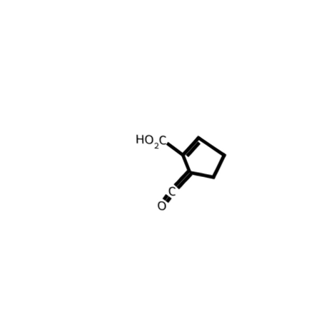 O=C=C1CCC=C1C(=O)O